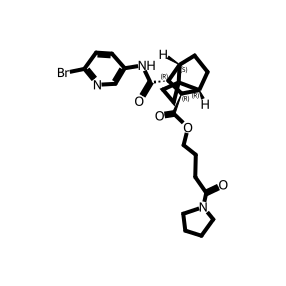 O=C(OCCCC(=O)N1CCCC1)[C@H]1[C@H](C(=O)Nc2ccc(Br)nc2)[C@@H]2CC[C@H]1C21CC1